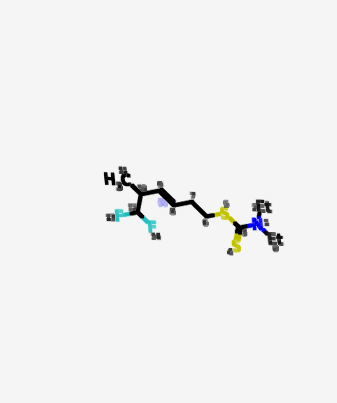 CCN(CC)C(=S)SCC/C=C/C(C)C(F)F